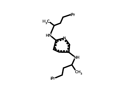 CC(C)CCC(C)Nc1ccc(NC(C)CCC(C)C)nc1